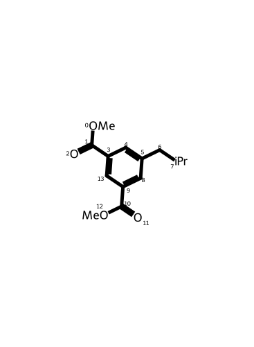 COC(=O)c1cc(CC(C)C)cc(C(=O)OC)c1